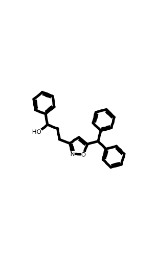 OC(CCc1cc(C(c2ccccc2)c2ccccc2)on1)c1ccccc1